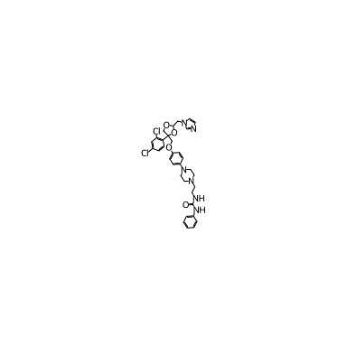 O=C(NCCN1CCN(c2ccc(OCC3(c4ccc(Cl)cc4Cl)COC(Cn4ccnc4)O3)cc2)CC1)Nc1ccccc1